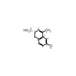 CC1=N[C@@H](C(=O)O)Cc2ccc(Cl)cc21